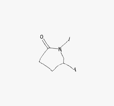 O=C1CCC(I)N1I